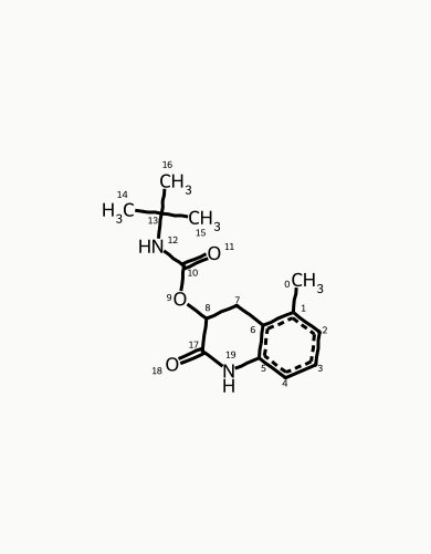 Cc1cccc2c1CC(OC(=O)NC(C)(C)C)C(=O)N2